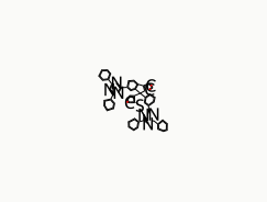 c1ccc(-c2nc(-c3ccccc3)nc(-c3ccc4c(c3)C3(c5ccccc5Sc5c(-c6nc(-c7ccccc7)nc(-c7ccccc7)n6)cccc53)c3ccccc3-4)n2)cc1